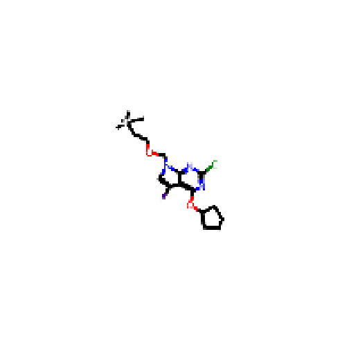 C[Si](C)(C)CCOCn1cc(I)c2c(OC3CCCC3)nc(Cl)nc21